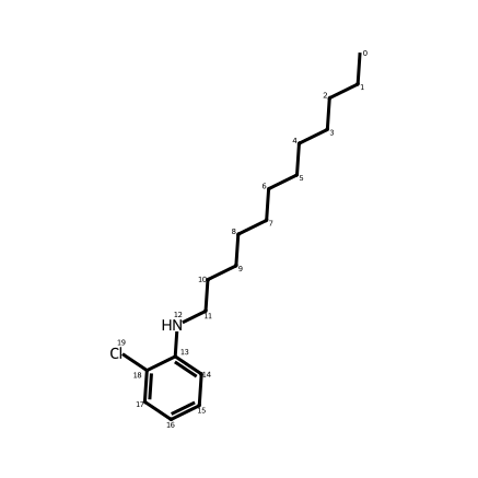 CCCCCCCCCCCCNc1ccccc1Cl